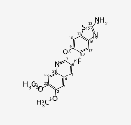 COc1cc2ccc(Oc3cc4sc(N)nc4cc3F)nc2cc1OC